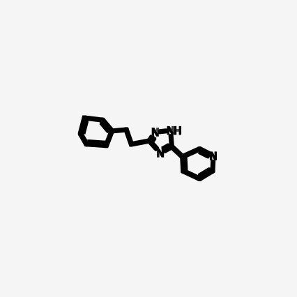 c1ccc(CCc2n[nH]c(-c3cccnc3)n2)cc1